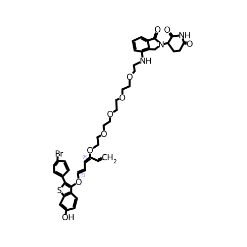 C=C/C(=C\C=C\Oc1c(-c2ccc(Br)cc2)sc2cc(O)ccc12)OCCOCCOCCOCCOCCNc1cccc2c1CN(C1CCC(=O)NC1=O)C2=O